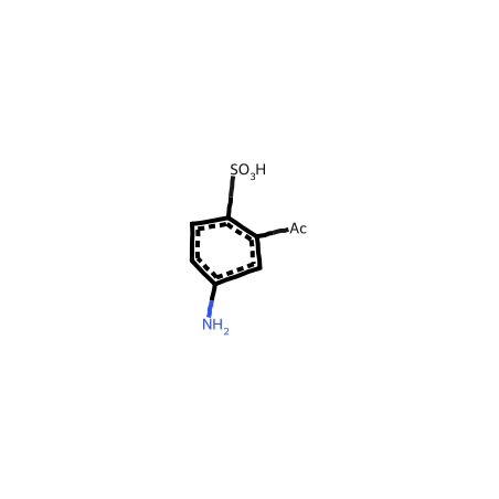 CC(=O)c1cc(N)ccc1S(=O)(=O)O